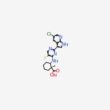 C[C@@]1(C(=O)O)CCCC[C@H]1Nc1nc(-c2c[nH]c3ncc(Cl)cc23)ncc1F